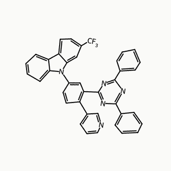 FC(F)(F)c1ccc2c3ccccc3n(-c3ccc(-c4cccnc4)c(-c4nc(-c5ccccc5)nc(-c5ccccc5)n4)c3)c2c1